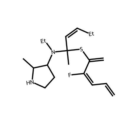 C=C/C=C(/F)C(=C)SC(C)(/C=C\CC)N(CC)C1CCNC1C